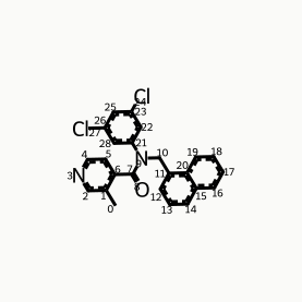 Cc1cnccc1C(=O)N(Cc1cccc2ccccc12)c1cc(Cl)cc(Cl)c1